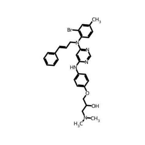 Cc1ccc(N(CC=Cc2ccccc2)c2cc(Nc3ccc(OCC(O)CN(C)C)cc3)ncn2)c(Br)c1